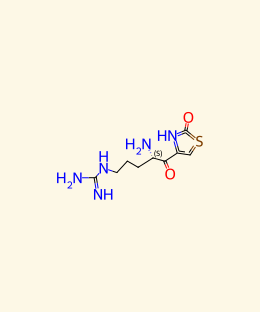 N=C(N)NCCC[C@H](N)C(=O)c1csc(=O)[nH]1